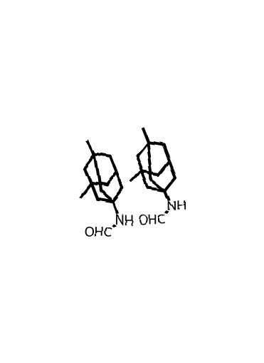 CC12CC3CC(C)(C1)CC(NC=O)(C3)C2.CC12CC3CC(C)(C1)CC(NC=O)(C3)C2